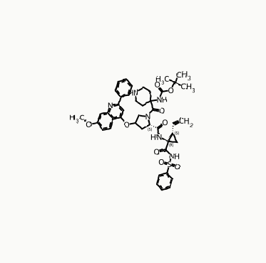 C=C[C@@H]1C[C@]1(NC(=O)[C@@H]1CC(Oc2cc(-c3ccccc3)nc3cc(OC)ccc23)CN1C(=O)C1(NC(=O)OC(C)(C)C)CCNCC1)C(=O)NS(=O)(=O)c1ccccc1